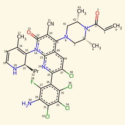 C=CC(=O)N1[C@H](C)CN(c2c(C#N)c(=O)n(C3=C(C)C=CN[C@@H]3C(C)C)c3nc(-c4c(F)c(N)c(Cl)c(Cl)c4Cl)c(Cl)cc23)C[C@@H]1C